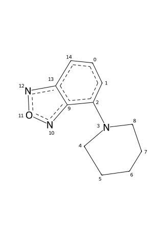 c1cc(N2CCCCC2)c2nonc2c1